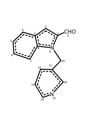 O=Cc1cc2ccccc2n1Cc1cccnc1